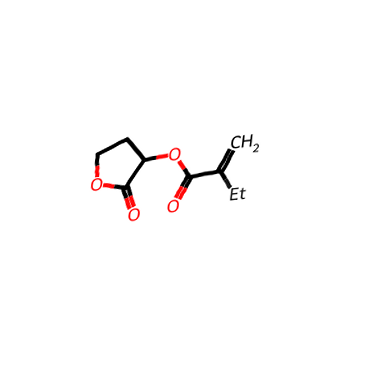 C=C(CC)C(=O)OC1CCOC1=O